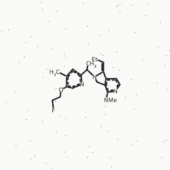 CC/C=C1/c2ccnc(NC)c2CN1C(C)c1cc(C)c(OCCF)cn1